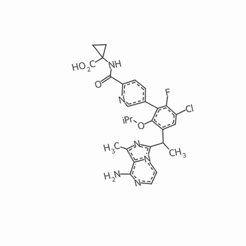 Cc1nc(C(C)c2cc(Cl)c(F)c(-c3ccc(C(=O)NC4(C(=O)O)CC4)nc3)c2OC(C)C)n2ccnc(N)c12